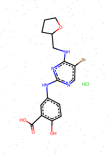 Cl.O=C(O)c1cc(Nc2ncc(Br)c(NCC3CCCO3)n2)ccc1O